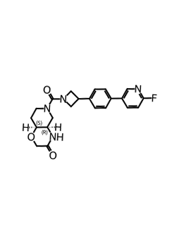 O=C1CO[C@H]2CCN(C(=O)N3CC(c4ccc(-c5ccc(F)nc5)cc4)C3)C[C@H]2N1